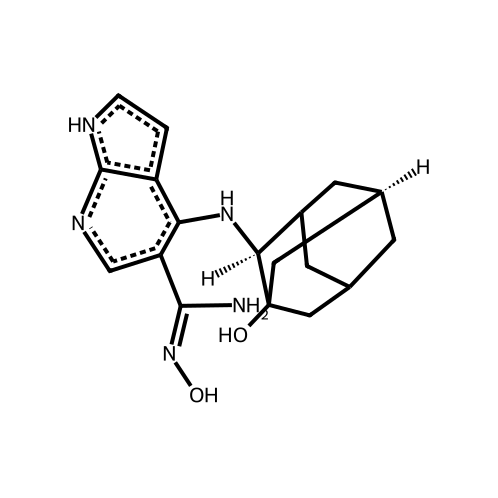 N/C(=N\O)c1cnc2[nH]ccc2c1N[C@H]1C2CC3C[C@H](C2)CC1(O)C3